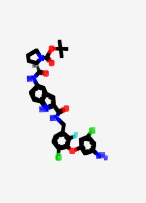 CC(C)(C)OC(=O)N1CCC[C@H]1C(=O)Nc1ccc2[nH]c(C(=O)NCc3ccc(Cl)c(Oc4cc(N)cc(Cl)c4)c3F)cc2c1